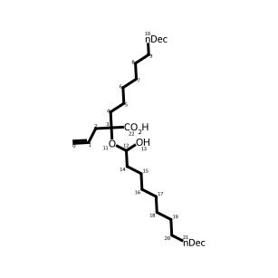 C=CCC(CCCCCCCCCCCCCCCC)(OC(O)CCCCCCCCCCCCCCCCC)C(=O)O